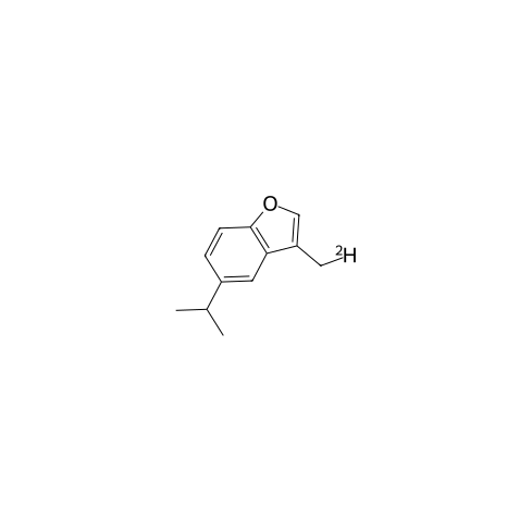 [2H]Cc1coc2ccc(C(C)C)cc12